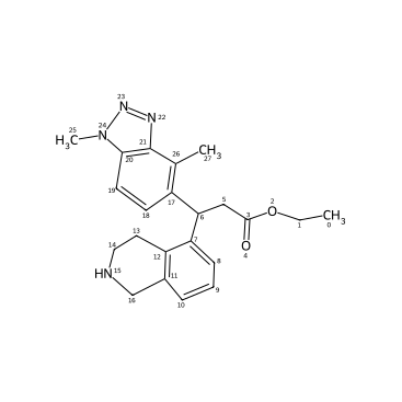 CCOC(=O)CC(c1cccc2c1CCNC2)c1ccc2c(nnn2C)c1C